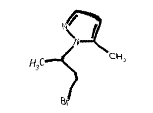 Cc1ccnn1C(C)CBr